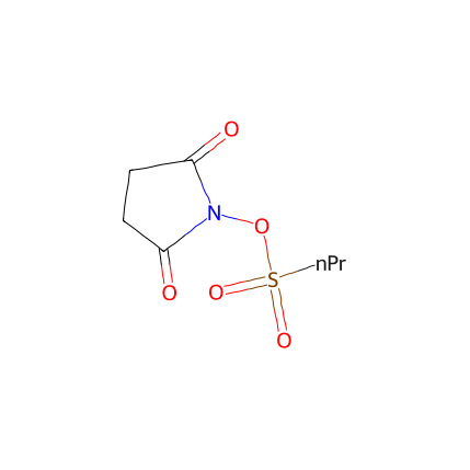 CCCS(=O)(=O)ON1C(=O)CCC1=O